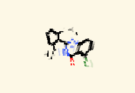 Cc1cccc(C)c1C1NC(=O)c2c(Cl)cccc2N1